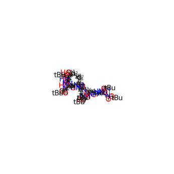 CC(C)(C)OC(=O)NCCC[C@@H](CNC(=O)C[C@H](CCCNC(=O)[C@H](CCCNC(=O)OC(C)(C)C)NC(=O)[C@@H]1Cc2cccc(c2)-c2ccc(O)c(c2)C[C@H](NC(=O)OC(C)(C)C)C(=O)N[C@@H](C[C@@H](O)CNC(=O)OC(C)(C)C)C(=O)N1)NC(=O)OC(C)(C)C)NC(=O)OC(C)(C)C